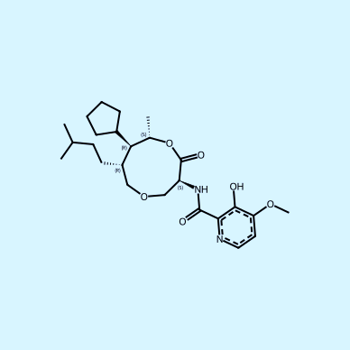 COc1ccnc(C(=O)N[C@H]2COC[C@H](CCC(C)C)[C@@H](C3CCCC3)[C@H](C)OC2=O)c1O